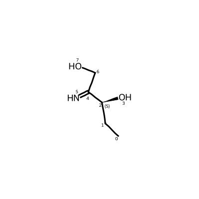 CC[C@H](O)C(=N)CO